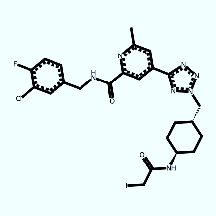 Cc1cc(-c2nnn(C[C@H]3CC[C@H](NC(=O)CI)CC3)n2)cc(C(=O)NCc2ccc(F)c(Cl)c2)n1